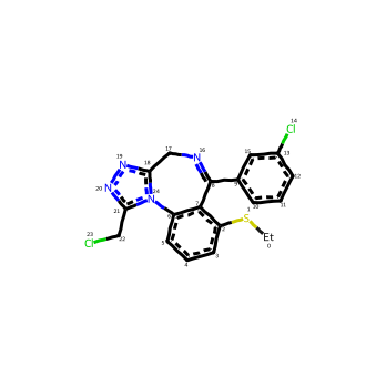 CCSc1cccc2c1C(c1cccc(Cl)c1)=NCc1nnc(CCl)n1-2